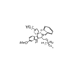 COc1ccc2c3c([nH]c2c1)C(CO[Si](C)(C)C(C)(C)C)N(Cc1ccccc1F)CC31CCN(C(=O)O)CC1